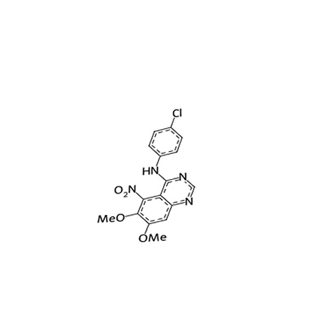 COc1cc2ncnc(Nc3ccc(Cl)cc3)c2c([N+](=O)[O-])c1OC